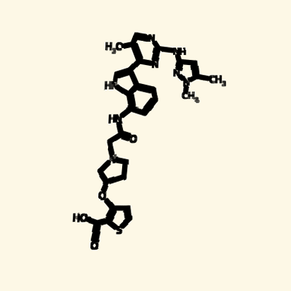 Cc1cnc(Nc2cc(C)n(C)n2)nc1-c1c[nH]c2c(NC(=O)CN3CCC(Oc4ccsc4C(=O)O)C3)cccc12